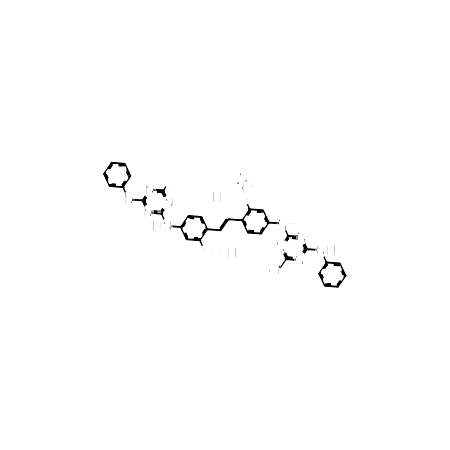 O=S(=O)(O)c1cc(Nc2nc(Cl)nc(Nc3ccccc3)n2)ccc1C=Cc1ccc(Nc2nc(Cl)nc(Nc3ccccc3)n2)cc1S(=O)(=O)O.[Na].[Na]